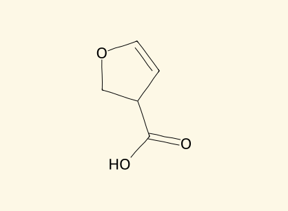 O=C(O)C1C=COC1